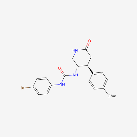 COc1ccc([C@@H]2CC(=O)NC[C@H]2NC(=O)Nc2ccc(Br)cc2)cc1